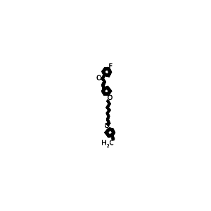 C=Cc1ccc(OCCCCCCCCOc2ccc(C=CC(=O)c3ccc(F)cc3)cc2)cc1